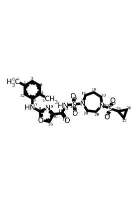 Cc1ccc(C)c(Nc2nc(C(=O)NS(=O)(=O)N3CCCN(S(=O)(=O)C4CC4)CC3)co2)c1